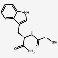 CC(C)(C)OC(=O)N[C@H](Cc1c[nH]c2ccccc12)C(N)=O